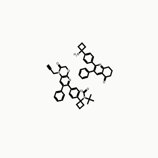 C#CCN1C(=O)COc2nc(-c3ccc(C4(N(C(=O)O)C(C)(C)C)CCC4)cc3)c(-c3ccccc3)cc21.NC1(c2ccc(-c3nc4c(cc3-c3ccccc3)C(=O)CCC4)cc2)CCC1